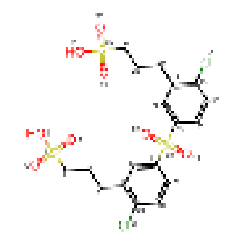 O=S(=O)(O)CCCc1cc(S(=O)(=O)c2ccc(Cl)c(CCCS(=O)(=O)O)c2)ccc1Cl